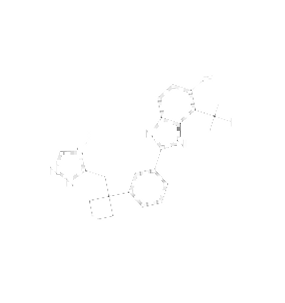 Cn1cnnc1CC1(c2cccc(-c3nc4ccc(Br)c(C(F)(F)F)c4[nH]3)c2)COC1